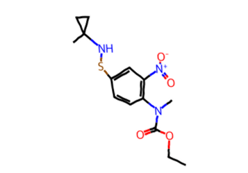 CCOC(=O)N(C)c1ccc(SNC2(C)CC2)cc1[N+](=O)[O-]